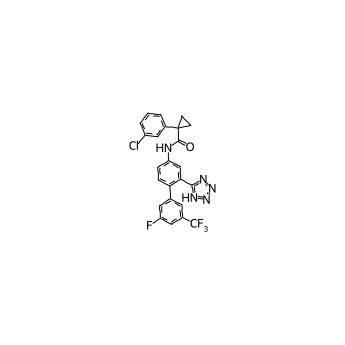 O=C(Nc1ccc(-c2cc(F)cc(C(F)(F)F)c2)c(-c2nnn[nH]2)c1)C1(c2cccc(Cl)c2)CC1